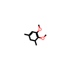 COC1=C(OC)C(C)CC(C)=C1